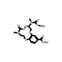 COC(=O)c1ccc(OCCN(C)C(=O)OC(C)(C)C)c(OCCN(C)C(=O)OC(C)(C)C)c1